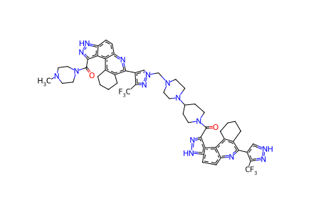 CN1CCN(C(=O)c2n[nH]c3ccc4nc(-c5cn(CN6CCN(C7CCN(C(=O)c8n[nH]c9ccc%10nc(-c%11c[nH]nc%11C(F)(F)F)c%11c(c%10c89)CCCC%11)CC7)CC6)nc5C(F)(F)F)c5c(c4c23)CCCC5)CC1